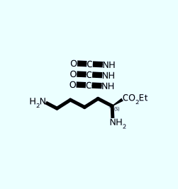 CCOC(=O)[C@@H](N)CCCCN.N=C=O.N=C=O.N=C=O